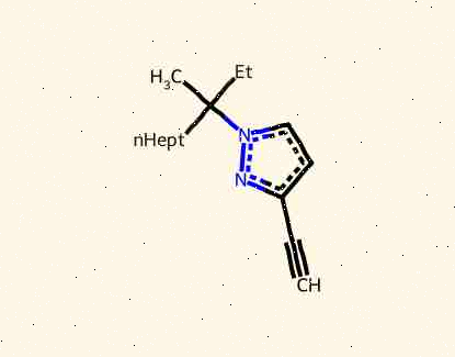 C#Cc1ccn(C(C)(CC)CCCCCCC)n1